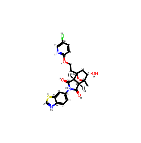 CC12OC(CCOc3ccc(Cl)cn3)(C[C@@H]1O)[C@H]1C(=O)N(c3ccc4ncsc4c3)C(=O)[C@H]12